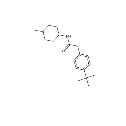 CN1CCC(NC(=O)Cc2ccc(C(C)(C)C)cc2)CC1